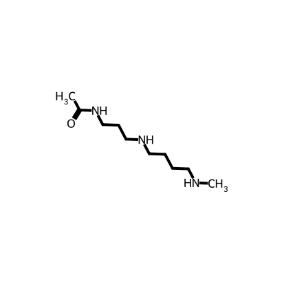 CNCCCCNCCCNC(C)=O